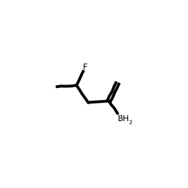 BC(=C)CC(C)F